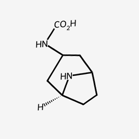 O=C(O)NC1CC2CC[C@@H](C1)N2